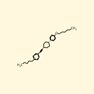 CCCCCCOc1ccc([C@H]2CC[C@H](C#Cc3ccc(CCCCC)cc3)CC2)cc1